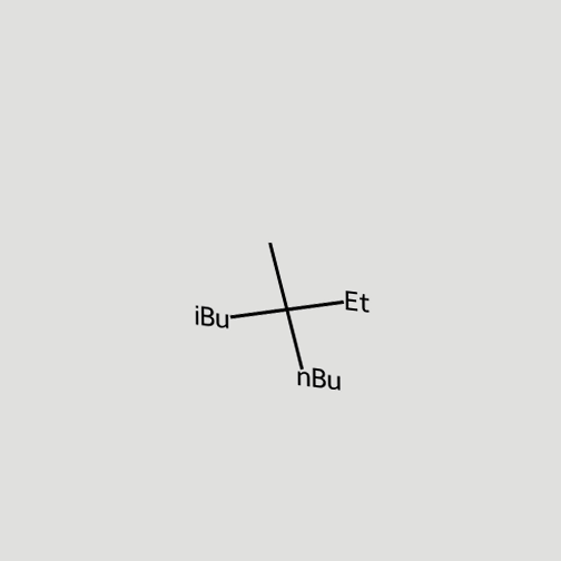 [CH2]CC(C)C(C)(CC)CCCC